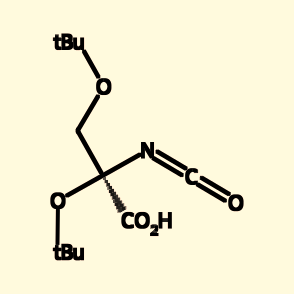 CC(C)(C)OC[C@@](N=C=O)(OC(C)(C)C)C(=O)O